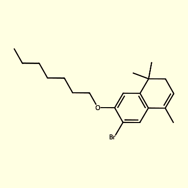 CCCCCCCOc1cc2c(cc1Br)C(C)=CCC2(C)C